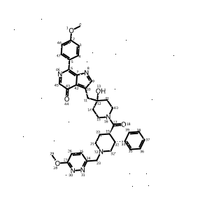 COc1ccc(C2=C3N=CC(CC4(O)CCN(C(=O)[C@@H]5CCN(Cc6ccc(OC)nn6)C[C@H]5c5ccccc5)CC4)=C3C(=O)C=N2)cc1